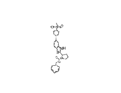 CS(=O)(=O)c1ccc(-c2ccc3nc(C4CCCN4C(=O)OCc4ccccc4)[nH]c3c2)cc1